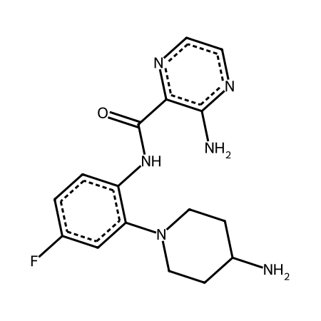 Nc1nccnc1C(=O)Nc1ccc(F)cc1N1CCC(N)CC1